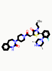 C[C@@H]1CN(c2c(F)cccc2[C@H]2S[C@@H](CC(=O)N3CCC(N4CCc5ccccc5NC4=O)CC3)C(=O)N2CCC(C)(C)C)C[C@H](C)N1